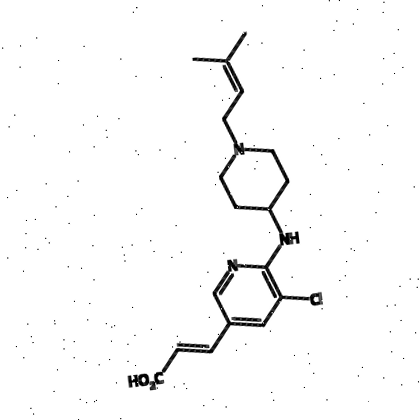 CC(C)=CCN1CCC(Nc2ncc(C=CC(=O)O)cc2Cl)CC1